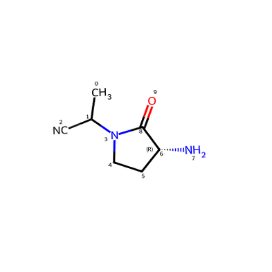 CC(C#N)N1CC[C@@H](N)C1=O